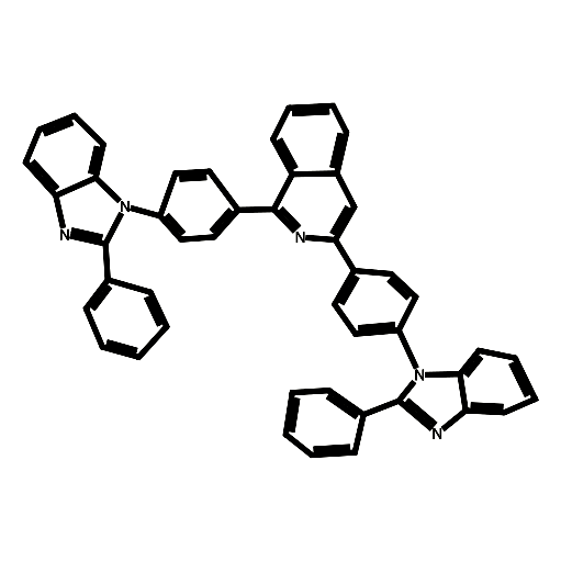 c1ccc(-c2nc3ccccc3n2-c2ccc(-c3cc4ccccc4c(-c4ccc(-n5c(-c6ccccc6)nc6ccccc65)cc4)n3)cc2)cc1